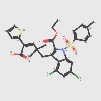 CCOC(=O)c1c(CC(C)(C)/C=C(\C(=O)O)c2cccs2)c2c(Cl)cc(Cl)cc2n1S(=O)(=O)c1ccc(C)cc1